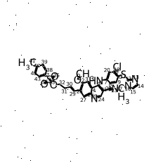 COc1cc2c(Nc3ccc(Sc4nccn4C)c(Cl)c3)c(C#N)cnc2cc1C=CCCOS(=O)(=O)c1ccc(C)cc1